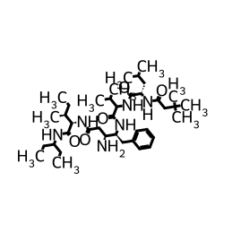 CCC(CC)NC(=O)[C@@H](NC(=O)C[C@H](N)[C@H](Cc1ccccc1)NC(=O)C(NC(=O)[C@H](CC(C)C)NC(=O)CC(C)(C)C)C(C)C)[C@@H](C)CC